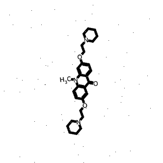 Cn1c2ccc(OCCN3CCCCC3)cc2c(=O)c2ccc(OCCN3CCCCC3)cc21